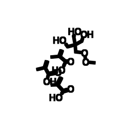 C=C(C)C(=O)O.C=C(C)C(=O)O.C=C(C)C(=O)O.COOCC(CO)(CO)CO